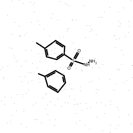 Cc1ccc(S(=O)(=O)NN)cc1.Cc1ccccc1